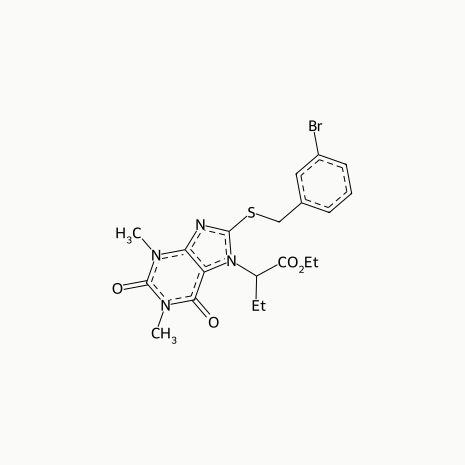 CCOC(=O)C(CC)n1c(SCc2cccc(Br)c2)nc2c1c(=O)n(C)c(=O)n2C